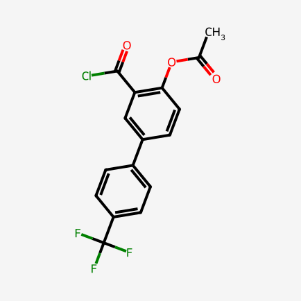 CC(=O)Oc1ccc(-c2ccc(C(F)(F)F)cc2)cc1C(=O)Cl